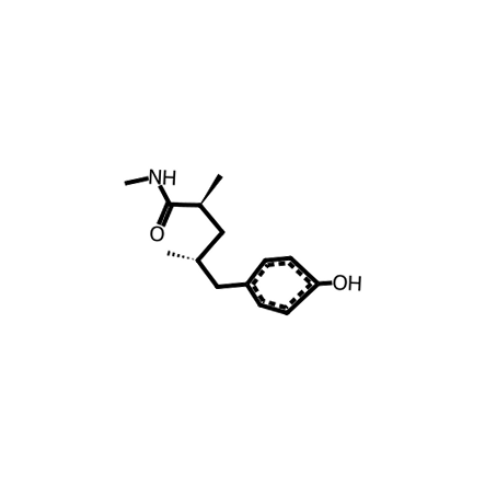 CNC(=O)[C@@H](C)C[C@@H](C)Cc1ccc(O)cc1